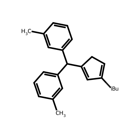 CCC(C)C1=CCC(C(c2cccc(C)c2)c2cccc(C)c2)=C1